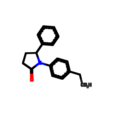 O=C(O)Cc1ccc(N2C(=O)CCC2c2ccccc2)cc1